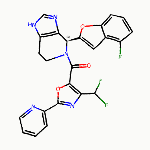 O=C(c1oc(-c2ccccn2)nc1C(F)F)N1CCc2[nH]cnc2[C@H]1c1cc2c(F)cccc2o1